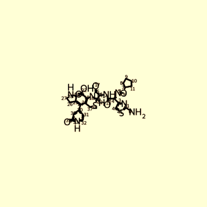 Nc1nc(C(=NOC2CCCC2)C(=O)N[C@@H]2C(=O)N3C(C(=O)O)=C(C(=C4CCNC4)c4cc[nH]c(=O)c4)CS[C@H]23)cs1